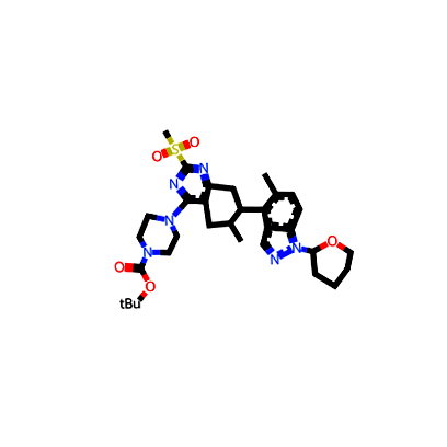 Cc1ccc2c(cnn2C2CCCCO2)c1C1Cc2nc(S(C)(=O)=O)nc(N3CCN(C(=O)OC(C)(C)C)CC3)c2CC1C